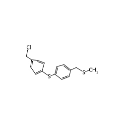 CSCc1ccc(Sc2ccc(CCl)cc2)cc1